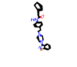 O=C(CC1CCCC1)Nc1ccc(CCN2CCN(c3nsc4ccccc34)CC2)cc1